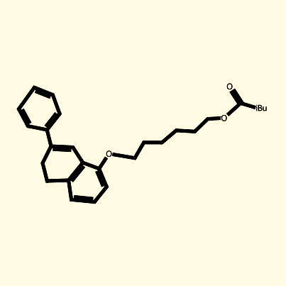 CCC(C)C(=O)OCCCCCCOc1cccc2c1C=C(c1ccccc1)CC2